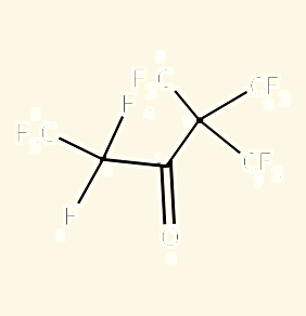 O=C(C(F)(F)C(F)(F)F)C(C(F)(F)F)(C(F)(F)F)C(F)(F)F